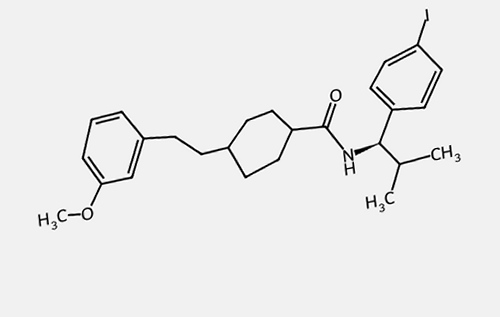 COc1cccc(CCC2CCC(C(=O)N[C@@H](c3ccc(I)cc3)C(C)C)CC2)c1